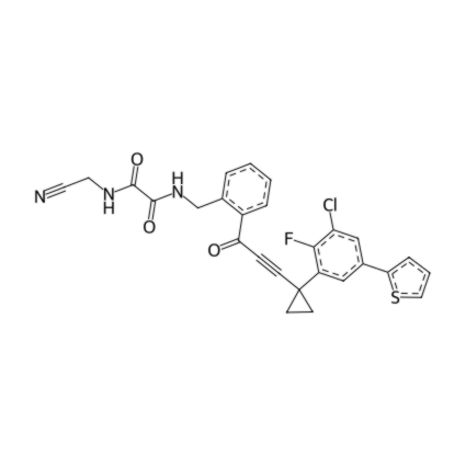 N#CCNC(=O)C(=O)NCc1ccccc1C(=O)C#CC1(c2cc(-c3cccs3)cc(Cl)c2F)CC1